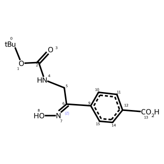 CC(C)(C)OC(=O)NC/C(=N\O)c1ccc(C(=O)O)cc1